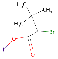 CC(C)(C)C(Br)C(=O)OI